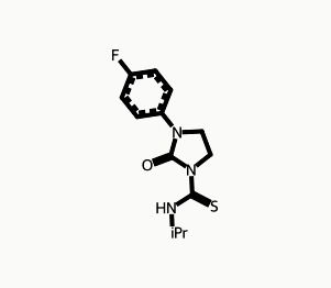 CC(C)NC(=S)N1CCN(c2ccc(F)cc2)C1=O